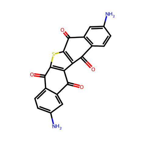 Nc1ccc2c(=O)c3c(sc4c(=O)c5ccc(N)cc5c(=O)c43)c(=O)c2c1